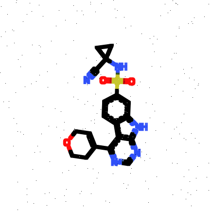 N#CC1(NS(=O)(=O)c2ccc3c(c2)[nH]c2ncnc(C4=CCOCC4)c23)CC1